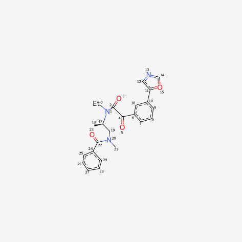 CCN(C(=O)C(=O)c1cccc(-c2cnco2)c1)[C@H](C)CN(C)C(=O)c1ccccc1